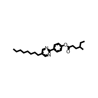 CCCCCCCCc1cnc(-c2ccc(OC(=O)CCC(C)CC)cc2)nc1